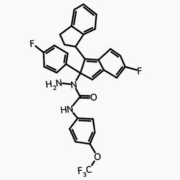 NN(C(=O)Nc1ccc(OC(F)(F)F)cc1)C1(c2ccc(F)cc2)C=c2cc(F)ccc2=C1C1CCc2ccccc21